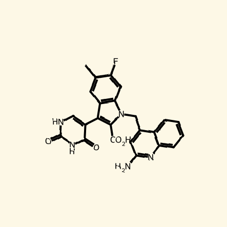 Cc1cc2c(-c3c[nH]c(=O)[nH]c3=O)c(C(=O)O)n(Cc3cc(N)nc4ccccc34)c2cc1F